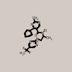 CCN(C(=O)c1cnc(C)nc1-c1ccccc1)C(C)CNc1ncc(C(C)(F)F)cn1